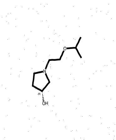 CC(C)OCCN1CC[C@@H](O)C1